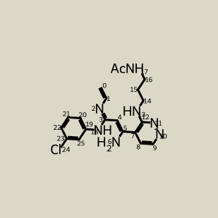 C=C/N=C(\C=C(/N)c1ccnnc1NCCCNC(C)=O)Nc1cccc(Cl)c1